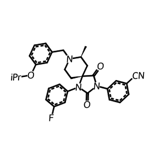 CC(C)Oc1cccc(CN2CC[C@@]3(C[C@@H]2C)C(=O)N(c2cccc(C#N)c2)C(=O)N3c2cccc(F)c2)c1